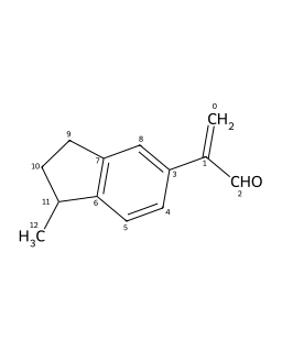 C=C(C=O)c1ccc2c(c1)CCC2C